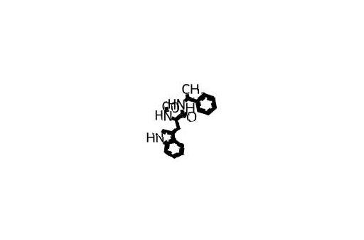 CC(NC(=O)C(Cc1c[nH]c2ccccc12)NC(=O)O)c1ccccc1